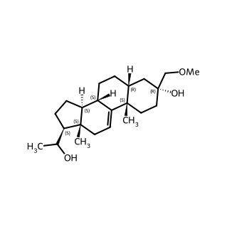 COC[C@@]1(O)CC[C@]2(C)C3=CC[C@]4(C)[C@@H](C(C)O)CC[C@H]4[C@@H]3CC[C@@H]2C1